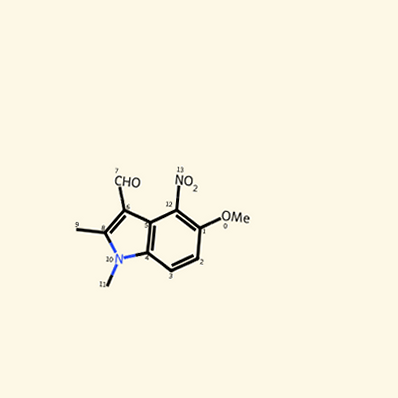 COc1ccc2c(c(C=O)c(C)n2C)c1[N+](=O)[O-]